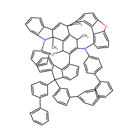 CC1C2=C(c3cccc4c3-c3ccccc3C4(c3cccc(-c4ccccc4)c3)c3cccc(-c4ccccc4)c3)C(C)C3=C1C(C)(C=C1c4ccccc4N(c4ccccc4)C13C)c1ccc3oc4cccc(c4c3c1)N2c1ccc(-c2ccccc2)cc1